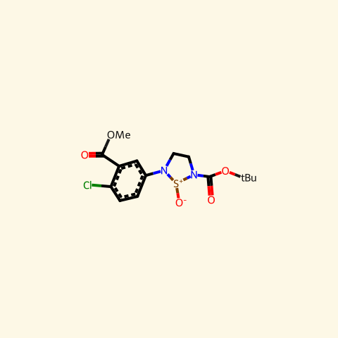 COC(=O)c1cc(N2CCN(C(=O)OC(C)(C)C)[S+]2[O-])ccc1Cl